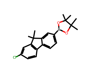 CC1(C)c2cc(Cl)ccc2-c2ccc(B3OC(C)(C)C(C)(C)O3)cc21